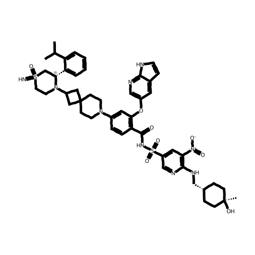 CC(C)c1ccccc1[C@H]1CS(=N)(=O)CCN1C1CC2(CCN(c3ccc(C(=O)NS(=O)(=O)c4cnc(NC[C@H]5CC[C@](C)(O)CC5)c([N+](=O)[O-])c4)c(Oc4cnc5[nH]ccc5c4)c3)CC2)C1